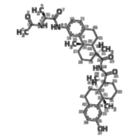 CC(=O)N[C@@H](C)C(=O)Nc1ccc2c(c1)[C@@]1(C)CCC[C@](C)(C(=O)NC(=O)[C@@]3(C)CCC[C@]4(C)c5cc(O)ccc5CC[C@@H]34)[C@@H]1CC2